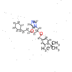 CC(C)(C)c1ccc(COC(COCCCC2CCCCC2)Cn2ccnc2)cc1